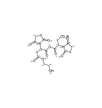 O=C(O)CC(C(=O)OC(=O)C(CC(=O)OCCO)N1C(=O)CCC1=O)N1C(=O)CCC1=O